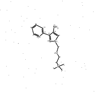 C[Si](C)(C)CCOCn1cc(N)c(-c2ccccn2)n1